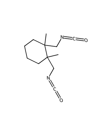 CC1(CN=C=O)CCCCC1(C)CN=C=O